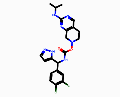 CC(C)Nc1ncc2c(n1)CN(OC(=O)NC(c1ccc(Cl)c(Cl)c1)c1ccn[nH]1)CC2